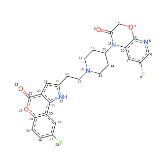 O=C1COc2ncc(F)cc2N1C1CCN(CCc2cc3c(=O)oc4ccc(F)cc4c3[nH]2)CC1